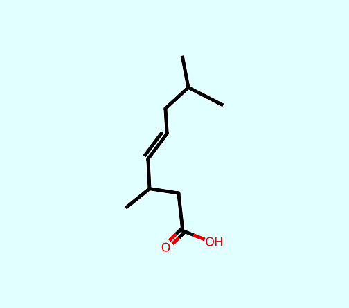 CC(C)C/C=C/C(C)CC(=O)O